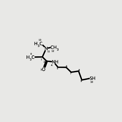 CC(C(=O)NCCCCCS)N(C)C